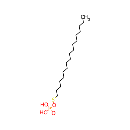 CCCCCCCCCCCCCCCCCCSOP(=O)(O)O